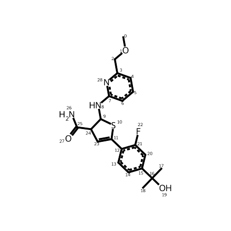 COCc1cccc(NC2SC(c3ccc(C(C)(C)O)cc3F)=CC2C(N)=O)n1